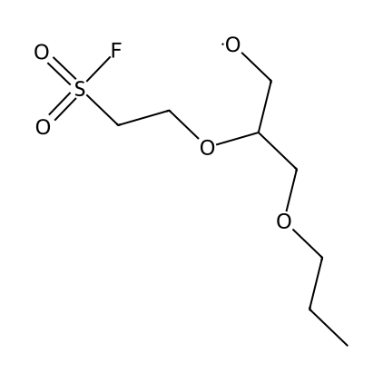 CCCOCC(C[O])OCCS(=O)(=O)F